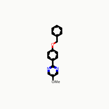 COc1cnc(-c2ccc(OCc3ccccc3)cc2)nc1